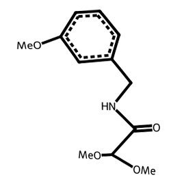 COc1cccc(CNC(=O)C(OC)OC)c1